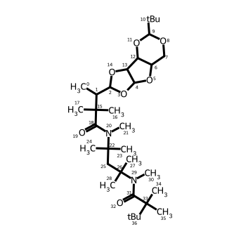 CC(C1OC2OC3COC(C(C)(C)C)OC3C2O1)C(C)(C)C(=O)N(C)C(C)(C)CC(C)(C)N(C)C(=O)C(C)(C)C(C)(C)C